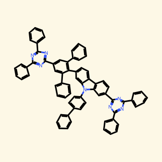 c1ccc(-c2ccc(-n3c4cc(-c5nc(-c6ccccc6)nc(-c6ccccc6)n5)ccc4c4ccc(-c5c(-c6ccccc6)cc(-c6nc(-c7ccccc7)nc(-c7ccccc7)n6)cc5-c5ccccc5)cc43)cc2)cc1